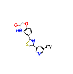 N#Cc1cncc(-c2csc(-c3ccc4c(c3)NC(=O)CO4)n2)c1